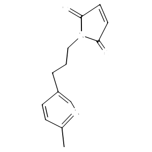 Cc1ccc(CCCN2C(=O)C=CC2=O)cn1